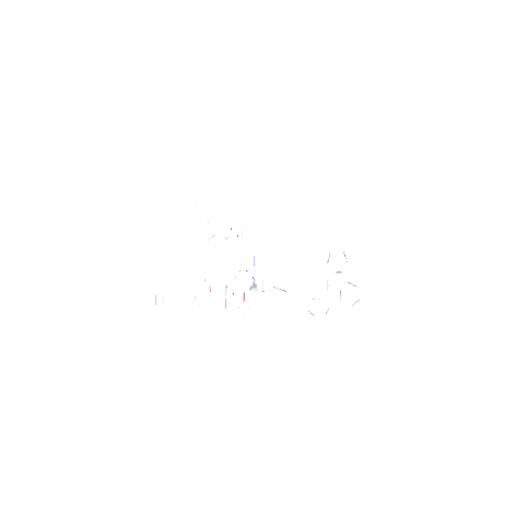 CCOC(=O)CNC(=O)[C@H](C[SH]=CCCC[P+](c1ccccc1)(c1ccccc1)c1ccccc1)NC(=O)CC[C@H](N)C(=O)OCC.[Br-]